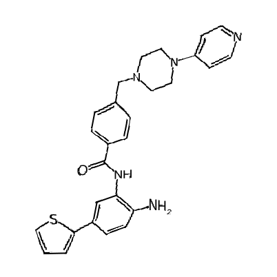 Nc1ccc(-c2cccs2)cc1NC(=O)c1ccc(CN2CCN(c3ccncc3)CC2)cc1